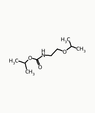 CC(C)OCCNC(=O)OC(C)C